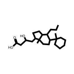 CCCC1C(C2(C)CCCCC2)CCC2(C)C(CC(O)CC(=O)O)CCC12